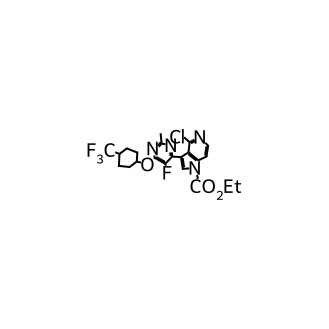 CCOC(=O)Cn1cc(-c2nc(C)nc(OC3CCC(C(F)(F)F)CC3)c2F)c2c(Cl)nccc21